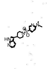 CN(C)c1ccc(S(=O)(=O)N2CCC(c3c[nH]c4ncccc34)CC2)cn1